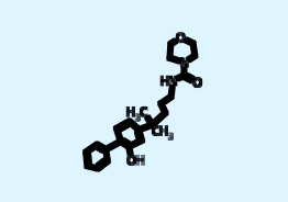 CC(C)(CCCNC(=O)N1CCOCC1)c1ccc(-c2ccccc2)c(O)c1